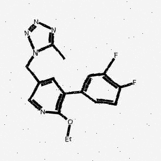 CCOc1ncc(Cn2nnnc2C)cc1-c1ccc(F)c(F)c1